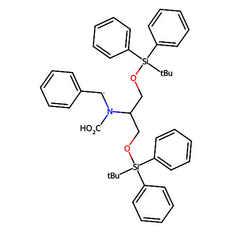 CC(C)(C)[Si](OCC(CO[Si](c1ccccc1)(c1ccccc1)C(C)(C)C)N([CH]c1ccccc1)C(=O)O)(c1ccccc1)c1ccccc1